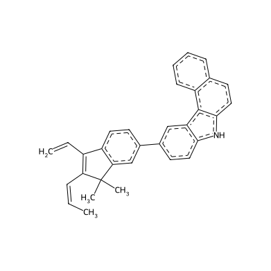 C=CC1=C(/C=C\C)C(C)(C)c2cc(-c3ccc4[nH]c5ccc6ccccc6c5c4c3)ccc21